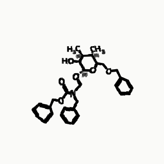 C[C@@H]1C(COCc2ccccc2)O[C@H](OCN(Cc2ccccc2)C(=O)OCc2ccccc2)C(O)[C@H]1C